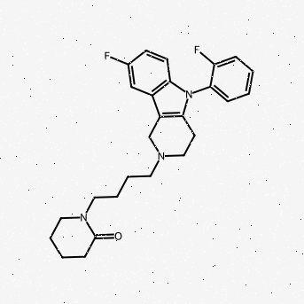 O=C1CCCCN1CCCCN1CCc2c(c3cc(F)ccc3n2-c2ccccc2F)C1